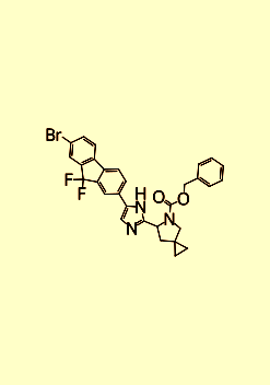 O=C(OCc1ccccc1)N1CC2(CC2)CC1c1ncc(-c2ccc3c(c2)C(F)(F)c2cc(Br)ccc2-3)[nH]1